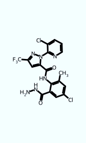 Cc1cc(Cl)cc(C(=O)NN)c1NC(=O)c1cc(C(F)(F)F)nn1-c1ncccc1Cl